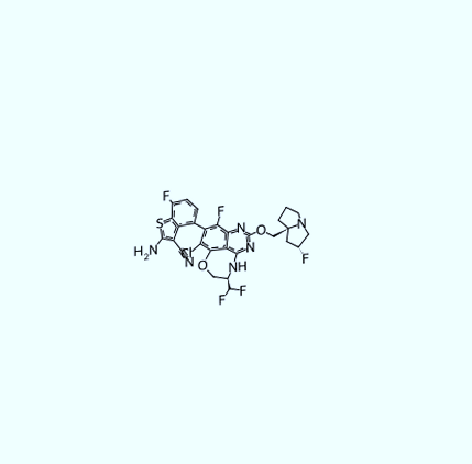 N#Cc1c(N)sc2c(F)ccc(-c3c(Cl)c4c5c(nc(OC[C@@]67CCCN6C[C@H](F)C7)nc5c3F)N[C@@H](C(F)F)CO4)c12